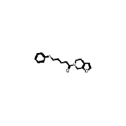 O=C(CCCCSc1ccccc1)N1CCc2ccoc2C1